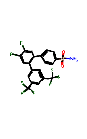 NS(=O)(=O)c1ccc(-c2cc(F)c(F)cc2-c2cc(C(F)(F)F)cc(C(F)(F)F)c2)cc1